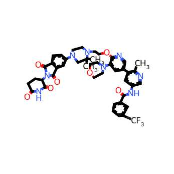 Cc1ncc(NC(=O)c2cccc(C(F)(F)F)c2)cc1-c1cnc(OCCN2CCN(c3ccc4c(c3)C(=O)N(C3CCC(=O)NC3=O)C4=O)CC2(C)C)c(N2CCOCC2)c1